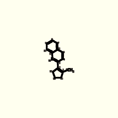 CC1=C(c2ccc3ccccc3n2)CCC1